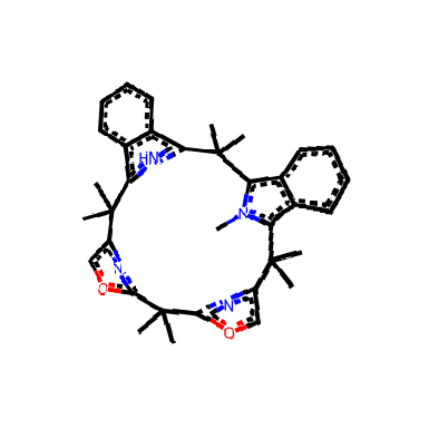 Cn1c2c3ccccc3c1C(C)(C)c1[nH]c(c3ccccc13)C(C)(C)c1coc(n1)C(C)(C)c1nc(co1)C2(C)C